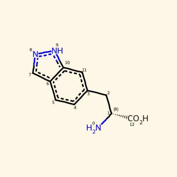 N[C@H](Cc1ccc2cn[nH]c2c1)C(=O)O